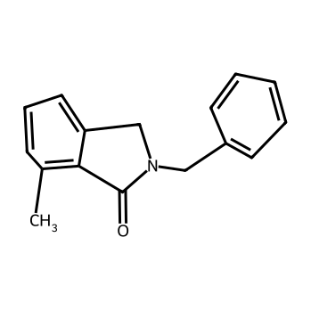 Cc1cccc2c1C(=O)N(Cc1ccccc1)C2